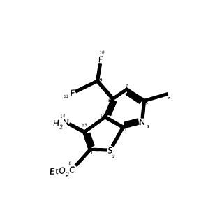 CCOC(=O)c1sc2nc(C)cc(C(F)F)c2c1N